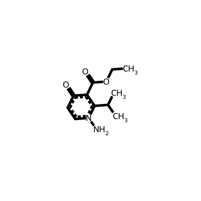 CCOC(=O)c1c(C(C)C)n(N)ccc1=O